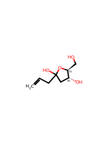 C=CCC1(O)C[C@@H](O)[C@H](CO)O1